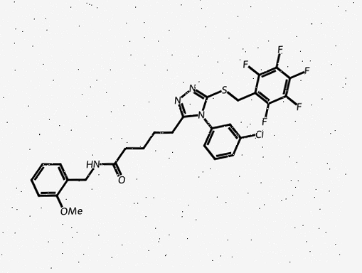 COc1ccccc1CNC(=O)CCCCc1nnc(SCc2c(F)c(F)c(F)c(F)c2F)n1-c1cccc(Cl)c1